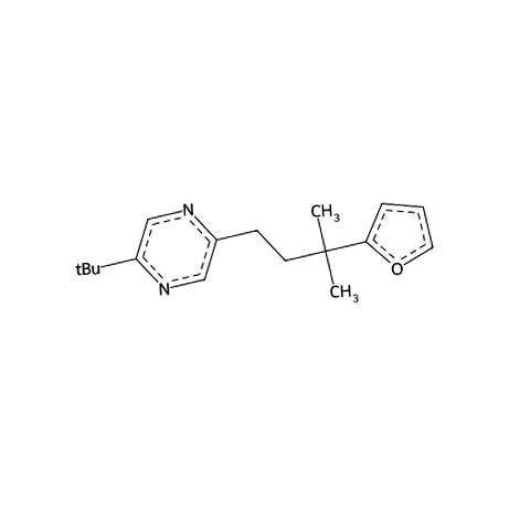 CC(C)(C)c1cnc(CCC(C)(C)c2ccco2)cn1